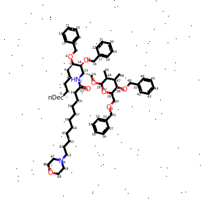 CCCCCCCCCCCCCC[C@@H](OCc1ccccc1)[C@@H](OCc1ccccc1)[C@H](COC1OC(COCc2ccccc2)C(OCc2ccccc2)C(C)C1C)NC(=O)CCCCCCCCCCN1CCOCC1